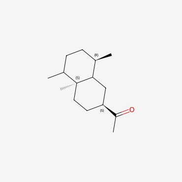 CC(=O)[C@H]1CC[C@@]2(C)C(C)CC[C@@H](C)C2C1